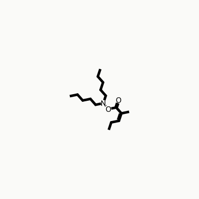 CCC=C(C)C(=O)ON(CCCCC)CCCCC